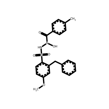 COc1ccc(S(=O)(=O)NN(O)C(=O)c2ccc(C)cc2)c(Cc2ccccc2)c1